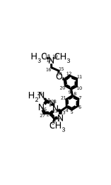 Cc1nc(-c2cccc(-c3cccc(OCCN(C)C)c3)c2)n2nc(N)ncc12